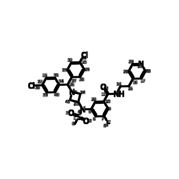 CS(=O)(=O)N(c1cc(F)cc(C(=O)NCCc2ccncc2)c1)C1CN(C(c2ccc(Cl)cc2)c2ccc(Cl)cc2)C1